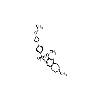 CCO[C@H]1C[C@H](c2ccc(S(=O)(=O)Nc3cc4c(nc3OC)CCN(C)CC4)cc2)C1